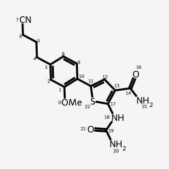 COc1cc(CCCC#N)ccc1-c1cc(C(N)=O)c(NC(N)=O)s1